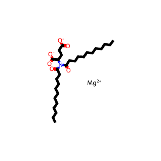 CCCCCCCCCCCC(=O)N(C(=O)CCCCCCCCCCC)C(CCC(=O)[O-])C(=O)[O-].[Mg+2]